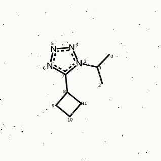 CC(C)n1nnnc1C1CCC1